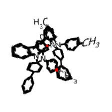 Cc1ccc(N(c2ccc(C)cc2)C2(n3c4ccccc4c4cc5c6ccccc6n(C6(N(c7ccc(C)cc7)c7ccc(C)cc7)C=CC(c7ccccc7)C=C6)c5cc43)C=CC(c3ccccc3)C=C2)cc1